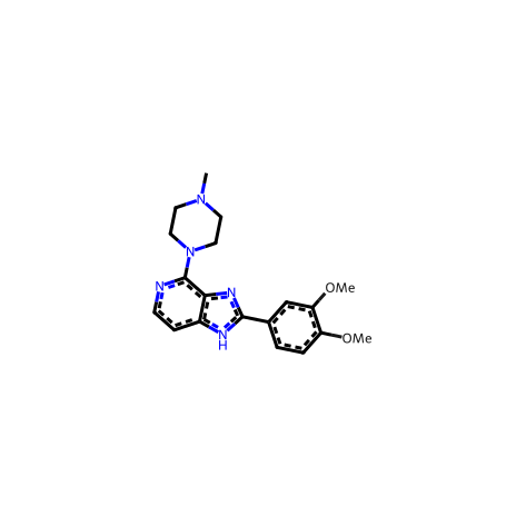 COc1ccc(-c2nc3c(N4CCN(C)CC4)nccc3[nH]2)cc1OC